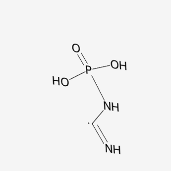 N=[C]NP(=O)(O)O